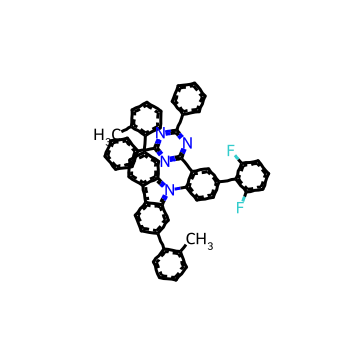 Cc1ccccc1-c1ccc2c3ccc(-c4ccccc4C)cc3n(-c3ccc(-c4c(F)cccc4F)cc3-c3nc(-c4ccccc4)nc(-c4ccccc4)n3)c2c1